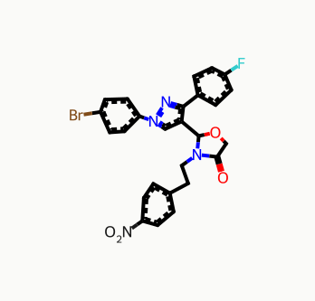 O=C1COC(c2cn(-c3ccc(Br)cc3)nc2-c2ccc(F)cc2)N1CCc1ccc([N+](=O)[O-])cc1